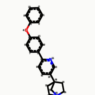 c1ccc(Oc2ccc(-c3ccc(C45CCN(CC4)C5)cn3)cc2)cc1